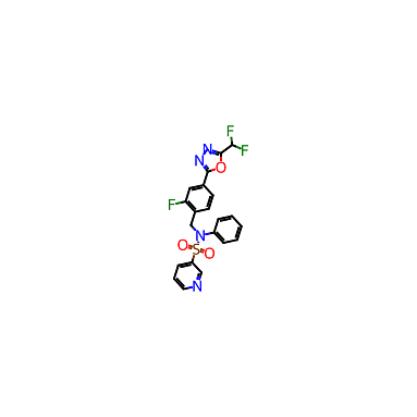 O=S(=O)(c1cccnc1)N(Cc1ccc(-c2nnc(C(F)F)o2)cc1F)c1ccccc1